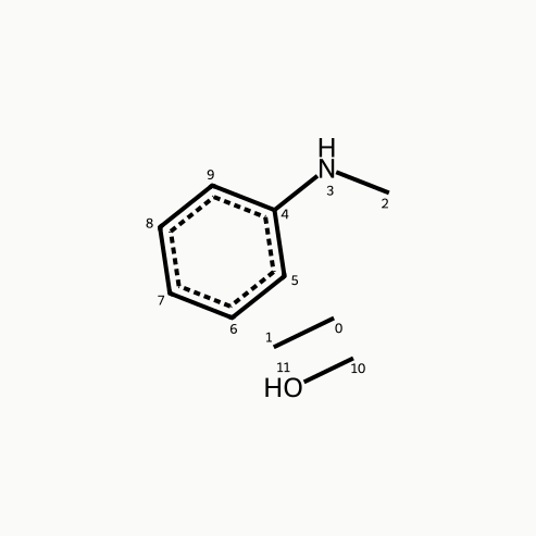 CC.CNc1ccccc1.CO